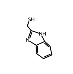 SCc1nc2ccccc2[nH]1